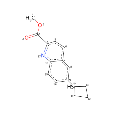 COC(=O)c1ccc2cc([SiH]3CCC3)ccc2n1